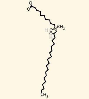 CCCCCCCCCCCCCCCCCCCC(O)C[N+](C)(C)CCCCCCCCCC(=O)[O-]